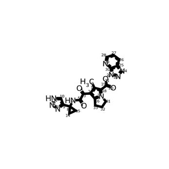 Cc1c(C(=O)C(=O)NC2(c3c[nH]nn3)CC2)c2n(c1C(=O)On1nnc3cccnc31)CCC2